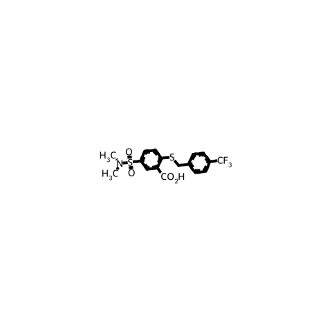 CN(C)S(=O)(=O)c1ccc(SCc2ccc(C(F)(F)F)cc2)c(C(=O)O)c1